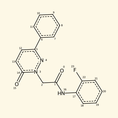 O=C(Cn1nc(-c2ccccc2)ccc1=O)Nc1ccccc1F